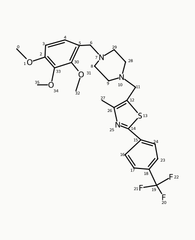 COc1ccc(CN2CCN(Cc3sc(-c4ccc(C(F)(F)F)cc4)nc3C)CC2)c(OC)c1OC